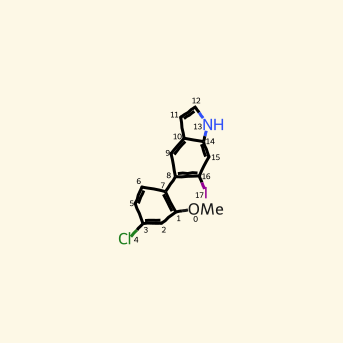 COc1cc(Cl)ccc1-c1cc2cc[nH]c2cc1I